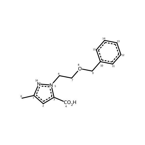 Cc1cc(C(=O)O)n(CCOCc2ccccc2)n1